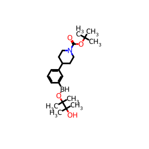 CC(C)(C)OC(=O)N1CCC(c2cccc(BOC(C)(C)C(C)(C)O)c2)CC1